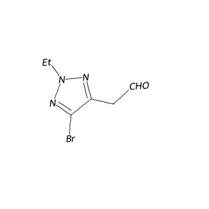 CCn1nc(Br)c(CC=O)n1